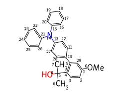 COc1ccc(C(C)(C)O)c(-c2ccc(N(c3ccccc3)c3ccccc3)cc2)c1